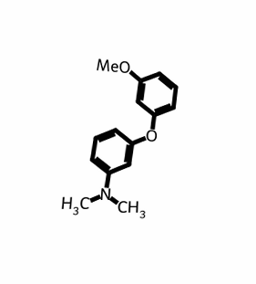 COc1cccc(Oc2cccc(N(C)C)c2)c1